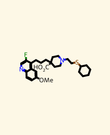 COc1ccc2ncc(F)c(CCCC3(C(=O)O)CCN(CCSC4CCCCC4)CC3)c2c1